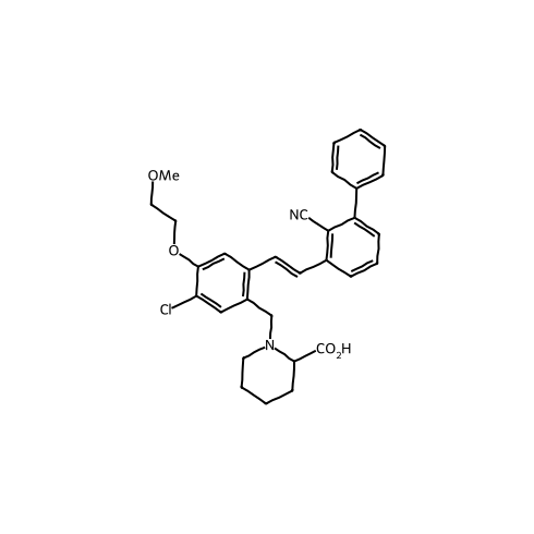 COCCOc1cc(C=Cc2cccc(-c3ccccc3)c2C#N)c(CN2CCCCC2C(=O)O)cc1Cl